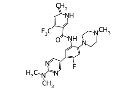 C=C1C=C(C(F)(F)F)C(C(=O)Nc2cc(-c3cnc(N(C)C)nc3)c(F)cc2N2CCN(C)CC2)=CN1